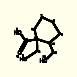 O=C(O)C1(CO)CCCCC1CO